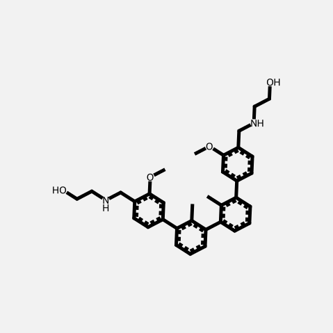 COc1cc(-c2cccc(-c3cccc(-c4ccc(CNCCO)c(OC)c4)c3C)c2C)ccc1CNCCO